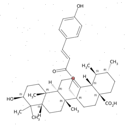 C[C@H]1[C@H](C)CC[C@]2(C(=O)O)CC[C@]3(COC(=O)C=Cc4ccc(O)cc4)C(=CC[C@@H]4[C@@]5(C)CC[C@H](O)C(C)(C)[C@H]5CC[C@]43C)[C@H]12